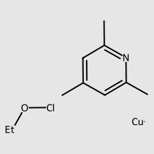 CCOCl.Cc1cc(C)nc(C)c1.[Cu]